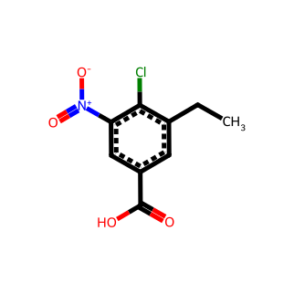 CCc1cc(C(=O)O)cc([N+](=O)[O-])c1Cl